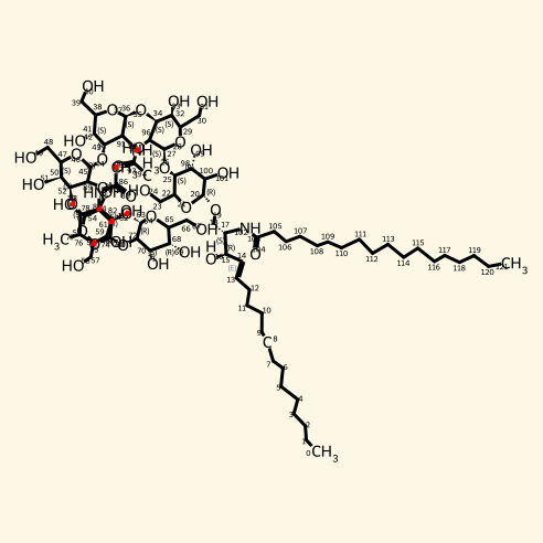 CCCCCCCCCCCCC/C=C/[C@@H](O)[C@H](CO[C@@H]1OC(CO)[C@@H](O[C@@H]2OC(CO)[C@H](O)[C@H](O[C@@H]3OC(CO)[C@@H](O)[C@H](O[C@@H]4OC(CO)[C@H](O)[C@H](O[C@@H]5OC(CO)[C@@H](O)[C@H](O[C@@H]6OC(CO)[C@H](O)[C@H](O)C6O[C@H]6OC(C)[C@@H](O)C(O)[C@@H]6O)C5NC(C)=O)C4O)C3NC(C)=O)C2O)[C@H](O)C1O)NC(=O)CCCCCCCCCCCCCCCCC